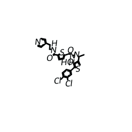 C/C(=N/NC(=O)c1ccc(C(=O)NCCc2ccncc2)s1)c1csc(-c2ccc(Cl)c(Cl)c2)c1O